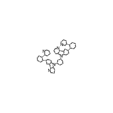 c1ccc(-c2ccccc2-c2ccc3c(c2)c2ncccc2n3-c2cccc(-n3c4ccc(-c5ccccc5-c5cccnc5)cc4c4ncccc43)c2)nc1